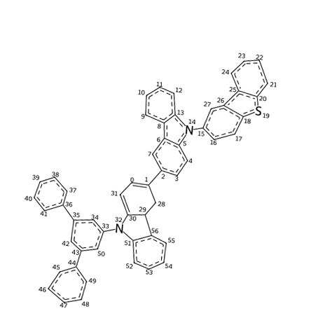 C1=C(c2ccc3c(c2)c2ccccc2n3-c2ccc3sc4ccccc4c3c2)CC2C(=C1)N(c1cc(-c3ccccc3)cc(-c3ccccc3)c1)c1ccccc12